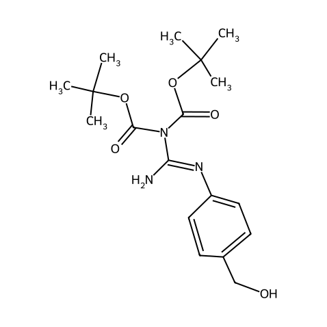 CC(C)(C)OC(=O)N(C(=O)OC(C)(C)C)C(N)=Nc1ccc(CO)cc1